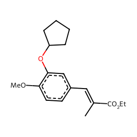 CCOC(=O)C(C)=Cc1ccc(OC)c(OC2CCCC2)c1